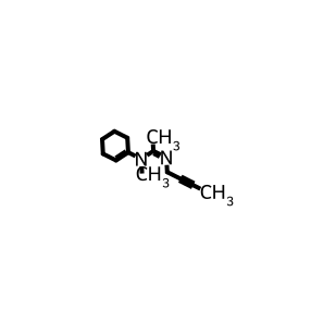 CC#CC/N=C(/C)N(C)C1=CCCCC1